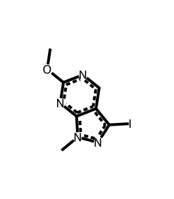 COc1ncc2c(I)nn(C)c2n1